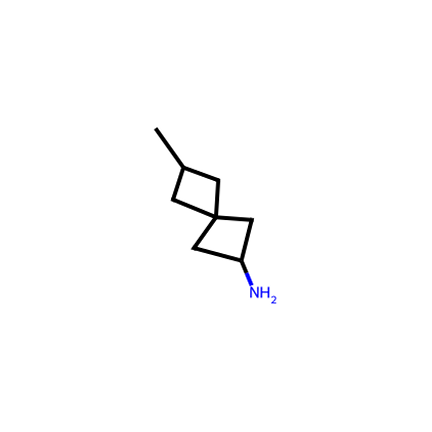 CC1CC2(C1)CC(N)C2